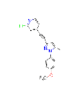 Cc1cc(C#Cc2ccnc(Cl)c2)nn1-c1ccc(OC(F)(F)F)cc1